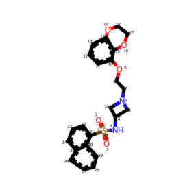 O=S(=O)(NC1CN(CCOc2cccc3c2OCCO3)C1)c1cccc2ccccc12